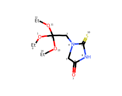 CCOC(CN1CC(=O)NC1=S)(OCC)OCC